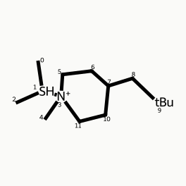 C[SH](C)[N+]1(C)CCC(CC(C)(C)C)CC1